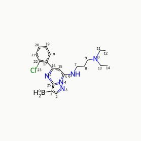 Bc1cnn2c(NCCCN(CC)CC)cc(-c3ccccc3Cl)nc12